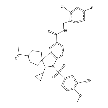 COc1ccc(S(=O)(=O)N2c3ccc(C(=O)NCc4ccc(F)cc4Cl)cc3C3(CCN(C(C)=O)CC3)C2C2CC2)cc1C#N